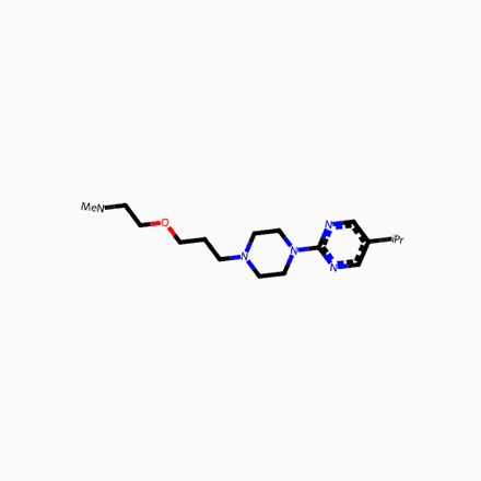 CNCCOCCCN1CCN(c2ncc(C(C)C)cn2)CC1